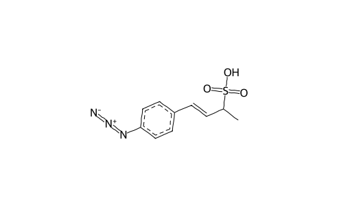 CC(C=Cc1ccc(N=[N+]=[N-])cc1)S(=O)(=O)O